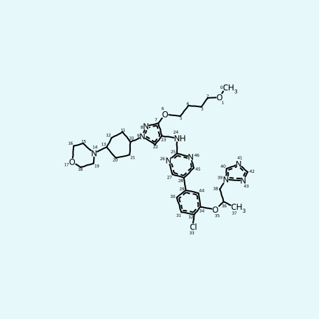 COCCCCOc1nn(C2CCC(N3CCOCC3)CC2)cc1Nc1ncc(-c2ccc(Cl)c(OC(C)Cn3cncn3)c2)cn1